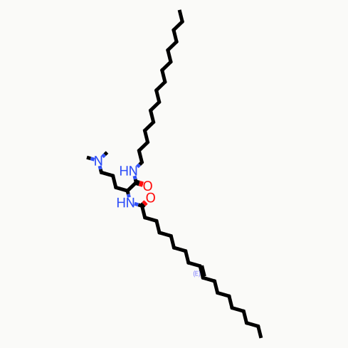 CCCCCCCC/C=C/CCCCCCCC(=O)NC(CCCN(C)C)C(=O)NCCCCCCCCCCCCCCCC